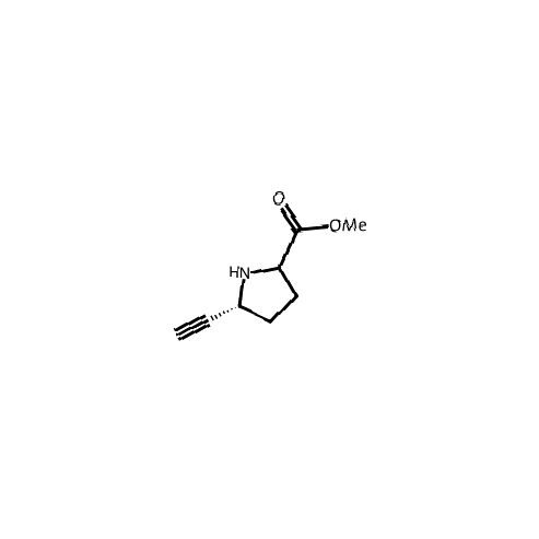 C#C[C@H]1CCC(C(=O)OC)N1